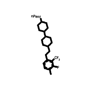 CCCCCC1CCC(C2CCC(CCc3ccc(C)c(F)c3C(F)(F)F)CC2)CC1